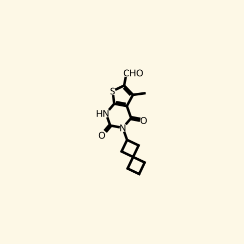 Cc1c(C=O)sc2[nH]c(=O)n(C3CC4(CCC4)C3)c(=O)c12